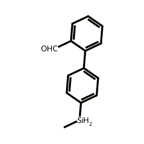 C[SiH2]c1ccc(-c2ccccc2C=O)cc1